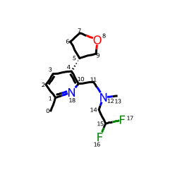 Cc1ccc([C@@H]2CCOC2)c(CN(C)CC(F)F)n1